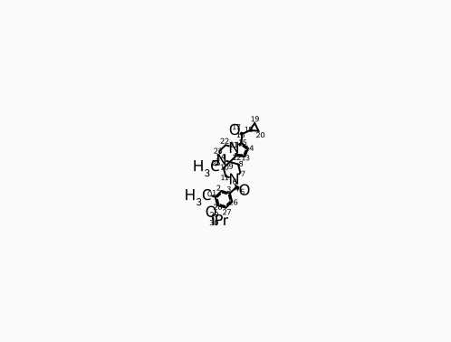 Cc1cc(C(=O)N2CCC3(CC2)c2ccc(C(=O)C4CC4)n2CCN3C)ccc1OC(C)C